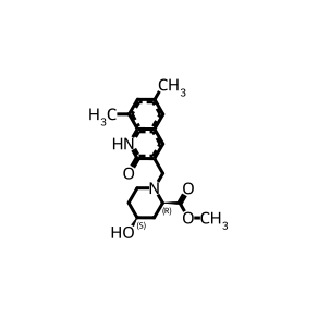 COC(=O)[C@H]1C[C@@H](O)CCN1Cc1cc2cc(C)cc(C)c2[nH]c1=O